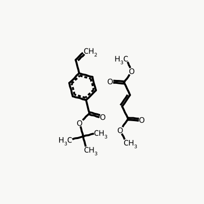 C=Cc1ccc(C(=O)OC(C)(C)C)cc1.COC(=O)C=CC(=O)OC